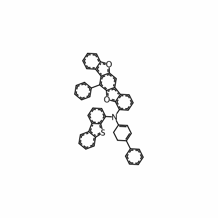 C1=C(c2ccccc2)CCC(N(c2cccc3c2oc2c(-c4ccccc4)c4c(cc23)oc2ccccc24)c2cccc3c2sc2ccccc23)=C1